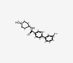 O=C(NC1CCN(O)CC1)c1ccc(-c2cccc(F)c2)nc1